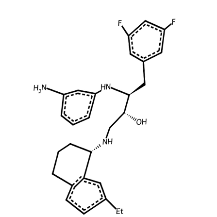 CCc1ccc2c(c1)[C@@H](NC[C@@H](O)[C@H](Cc1cc(F)cc(F)c1)Nc1cccc(N)c1)CCC2